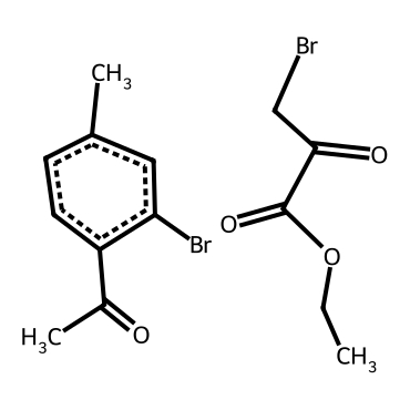 CC(=O)c1ccc(C)cc1Br.CCOC(=O)C(=O)CBr